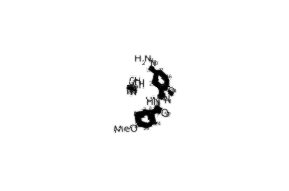 C#N.C#N.COc1ccc(C(=O)Nc2noc3ccc(C=NN)cc23)cc1